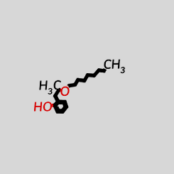 CCCCCCCCCOC(C)Cc1ccccc1O